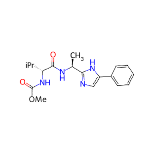 COC(=O)N[C@@H](C(=O)N[C@@H](C)c1ncc(-c2ccccc2)[nH]1)C(C)C